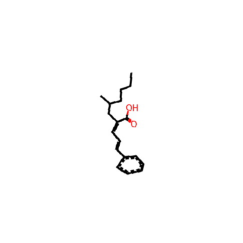 CCCCC(C)CC(=CC=Cc1ccccc1)C(=O)O